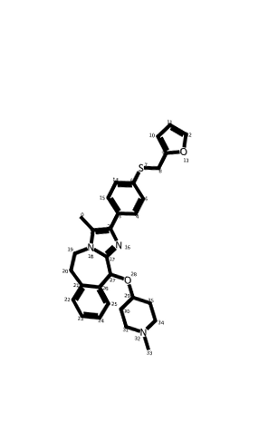 Cc1c(-c2ccc(SCc3ccco3)cc2)nc2n1CCc1ccccc1C2OC1CCN(C)CC1